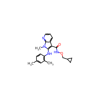 Cc1ccc(Nc2c(C(=O)NOCC3CC3)c3cccnc3n2C)c(C)c1